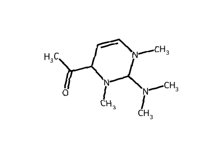 CC(=O)C1C=CN(C)C(N(C)C)N1C